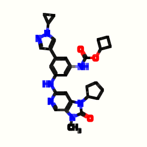 Cn1c(=O)n(C2CCCC2)c2cc(Nc3cc(NC(=O)OC4CCC4)cc(-c4cnn(C5CC5)c4)c3)ncc21